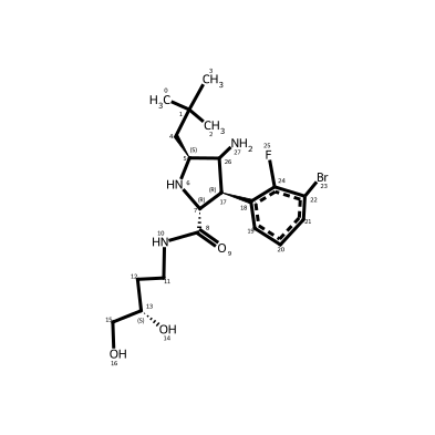 CC(C)(C)C[C@@H]1N[C@@H](C(=O)NCC[C@H](O)CO)[C@H](c2cccc(Br)c2F)C1N